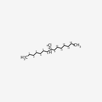 CCCCCCC[SiH](Cl)CCCCCCC